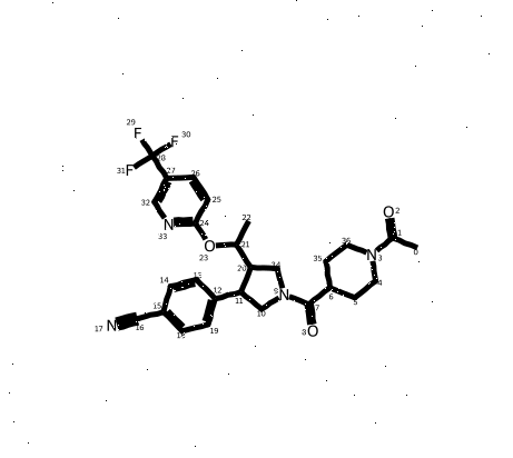 CC(=O)N1CCC(C(=O)N2CC(c3ccc(C#N)cc3)C(C(C)Oc3ccc(C(F)(F)F)cn3)C2)CC1